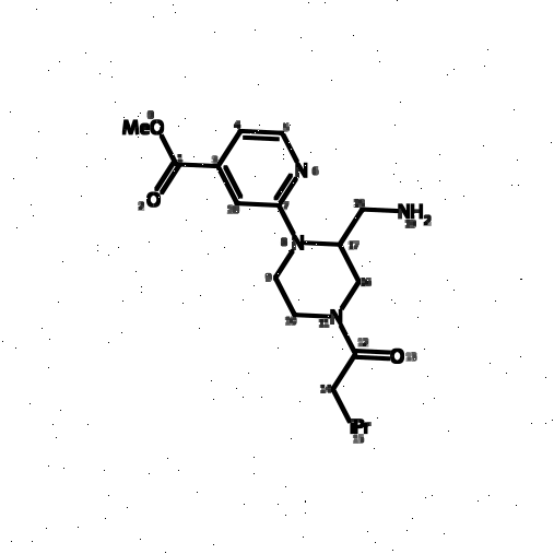 COC(=O)c1ccnc(N2CCN(C(=O)CC(C)C)CC2CN)c1